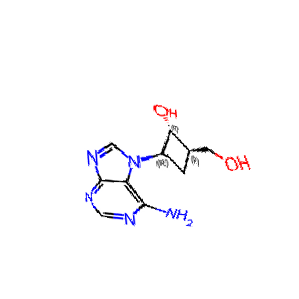 Nc1ncnc2ncn([C@@H]3C[C@H](CO)[C@H]3O)c12